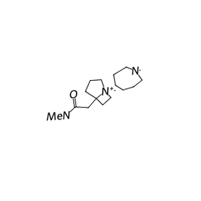 C1CCC[N]CC1.CNC(=O)CC12CCC[N+]1CC2